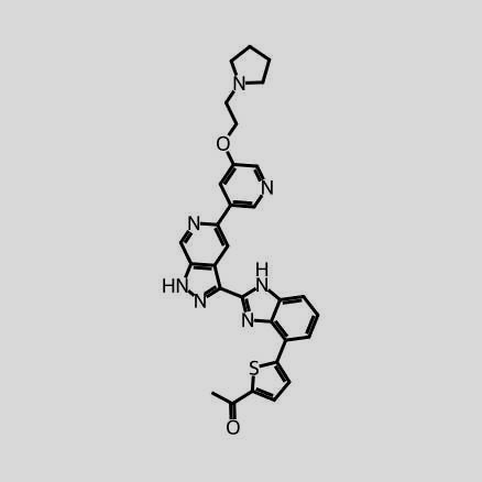 CC(=O)c1ccc(-c2cccc3[nH]c(-c4n[nH]c5cnc(-c6cncc(OCCN7CCCC7)c6)cc45)nc23)s1